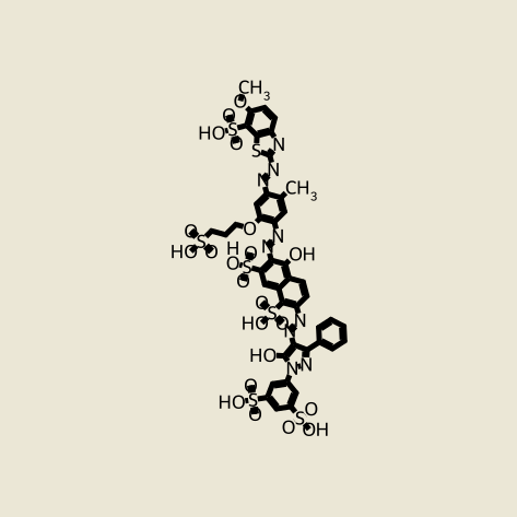 COc1ccc2nc(N=Nc3cc(OCCCS(=O)(=O)O)c(N=Nc4c(S(=O)(=O)O)cc5c(S(=O)(=O)O)c(N=Nc6c(-c7ccccc7)nn(-c7cc(S(=O)(=O)O)cc(S(=O)(=O)O)c7)c6O)ccc5c4O)cc3C)sc2c1S(=O)(=O)O